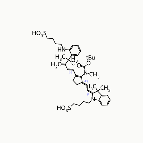 C=C(/C=C/C1=C(N(C)C(=O)OC(C)(C)C)C(=C/C=C2/N(CCCCS(=O)(=O)O)c3ccccc3C2(C)C)/CC1)C(C)(C)c1ccccc1NCCCCS(=O)(=O)O